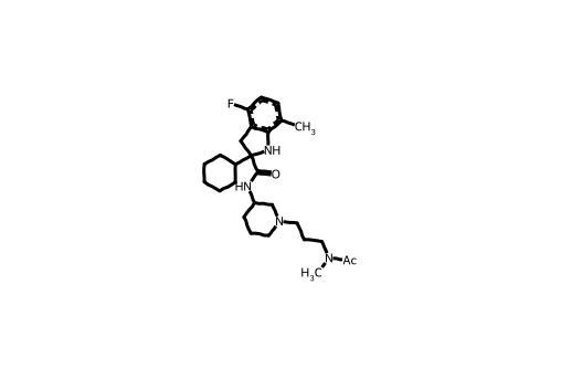 CC(=O)N(C)CCCN1CCCC(NC(=O)C2(C3CCCCC3)Cc3c(F)ccc(C)c3N2)C1